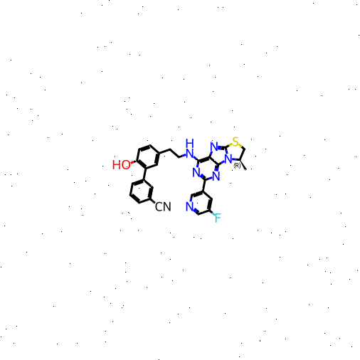 C[C@@H]1CSc2nc3c(NCCc4ccc(O)c(-c5cccc(C#N)c5)c4)nc(-c4cncc(F)c4)nc3n21